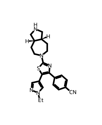 CCn1cc(-c2sc(N3CC[C@@H]4CNC[C@@H]4CC3)nc2-c2ccc(C#N)cc2)cn1